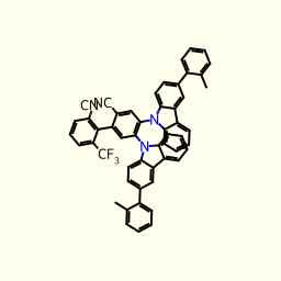 Cc1ccccc1-c1ccc2c(c1)c1ccccc1n2-c1cc(C#N)c(-c2c(C#N)cccc2C(F)(F)F)cc1-n1c2ccccc2c2cc(-c3ccccc3C)ccc21